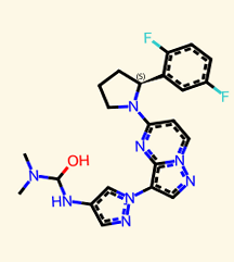 CN(C)C(O)Nc1cnn(-c2cnn3ccc(N4CCC[C@H]4c4cc(F)ccc4F)nc23)c1